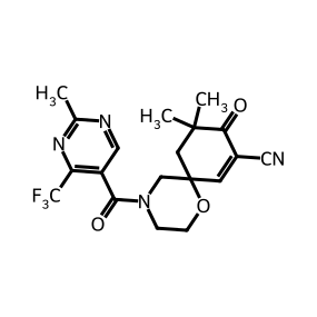 Cc1ncc(C(=O)N2CCOC3(C=C(C#N)C(=O)C(C)(C)C3)C2)c(C(F)(F)F)n1